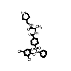 C[C@H](NC(=O)c1ccc(S(=O)(=O)N(Oc2ccc(Cl)cc2Cl)c2ccccc2)cc1)C(=O)NCC1CCNCC1